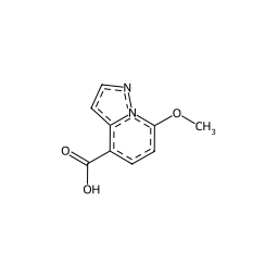 COc1ccc(C(=O)O)c2ccnn12